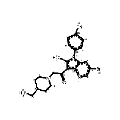 Cc1c(C(=O)CN2CCC(CN)CC2)c2ncc(Br)cc2n1-c1ccc(C#N)cc1